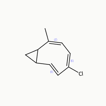 C/C1=C/C=C(Cl)\C=C\C2CC12